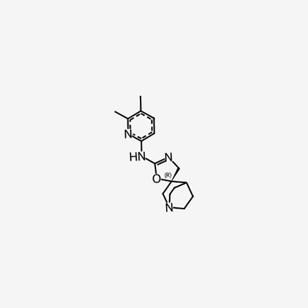 Cc1ccc(NC2=NC[C@@]3(CN4CCC3CC4)O2)nc1C